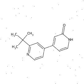 CC(C)(C)c1cc(-c2cc[nH]c(=O)c2)ccn1